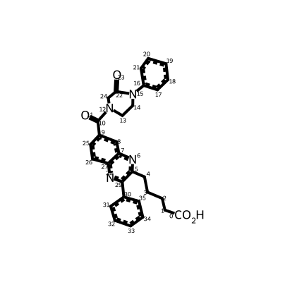 O=C(O)CCCCc1nc2cc(C(=O)N3CCN(c4ccccc4)C(=O)C3)ccc2nc1-c1ccccc1